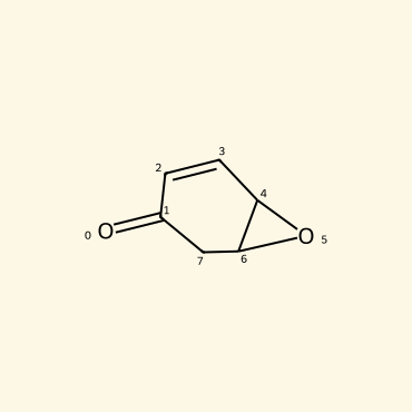 O=C1C=CC2OC2C1